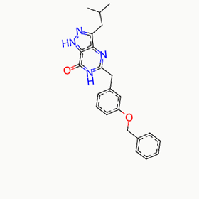 CC(C)Cc1n[nH]c2c(=O)[nH]c(Cc3cccc(OCc4ccccc4)c3)nc12